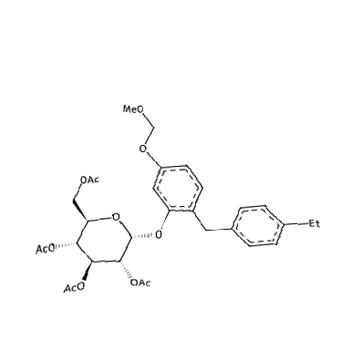 CCc1ccc(Cc2ccc(OCOC)cc2O[C@H]2O[C@H](COC(C)=O)[C@@H](OC(C)=O)[C@H](OC(C)=O)[C@H]2OC(C)=O)cc1